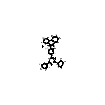 CC12C(=Nc3cc(-c4nc(-c5ccccc5)nc(-c5ccccc5)n4)ccc31)c1ccccc1-c1ccccc12